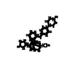 CN1CCN(c2ccc(Cc3ccccc3C34CC5CC(C3)CC(C3CCCC3)(C5)C4)cc2)CC1.Cl